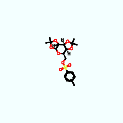 Cc1ccc(S(=O)(=O)OC[C@H]2OC3OC(C)(C)O[C@@H]3[C@H]3OC(C)(C)O[C@H]32)cc1